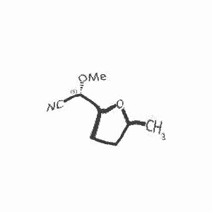 CO[C@@H](C#N)C1CCC(C)O1